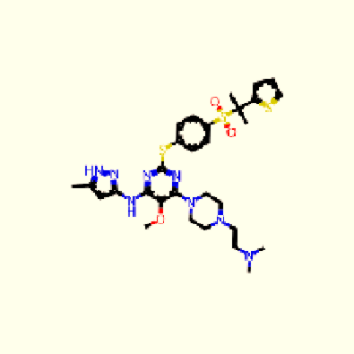 COc1c(Nc2cc(C)[nH]n2)nc(Sc2ccc(S(=O)(=O)C(C)(C)c3cccs3)cc2)nc1N1CCN(CCN(C)C)CC1